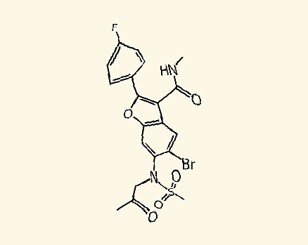 CNC(=O)c1c(-c2ccc(F)cc2)oc2cc(N(CC(C)=O)S(C)(=O)=O)c(Br)cc12